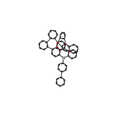 c1ccc(-c2ccc(N(c3ccc4c(c3)C3(c5ccccc5-c5ccccc5-4)c4ccccc4-c4c3ccc3ccccc43)c3ccccc3-c3ccccc3)cc2)cc1